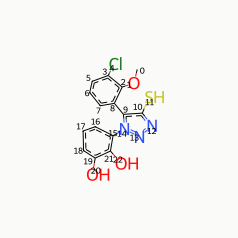 COc1c(Cl)cccc1-c1c(S)nnn1-c1cccc(O)c1O